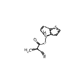 C=C(C#N)C(=O)O[SH]1C=Cc2sccc21